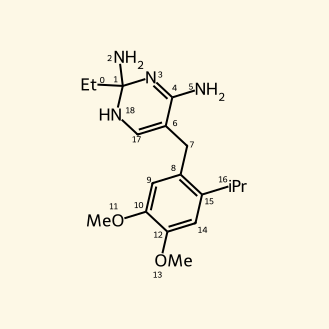 CCC1(N)N=C(N)C(Cc2cc(OC)c(OC)cc2C(C)C)=CN1